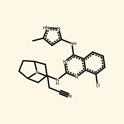 Cc1cc(Nc2nc(NC3CC4CCC(C3)N4CCC#N)nc3c(Cl)cccc23)n[nH]1